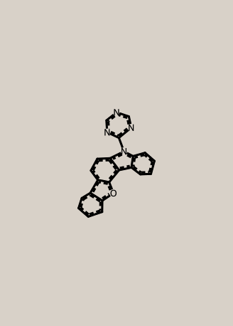 c1ccc2c(c1)oc1c2ccc2c1c1ccccc1n2-c1ncncn1